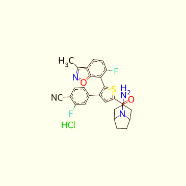 Cc1noc2c(-c3sc(C(=O)N4C5CCC4CC(N)C5)cc3-c3ccc(C#N)c(F)c3)c(F)ccc12.Cl